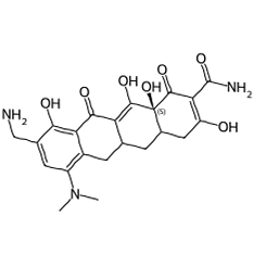 CN(C)c1cc(CN)c(O)c2c1CC1CC3CC(O)=C(C(N)=O)C(=O)[C@@]3(O)C(O)=C1C2=O